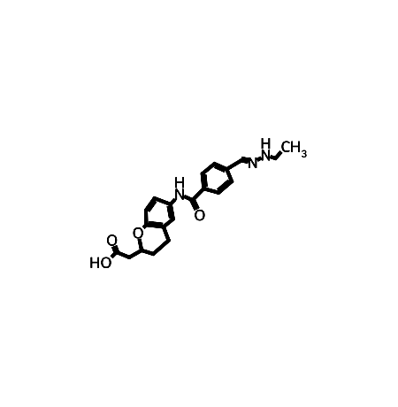 CCNN=Cc1ccc(C(=O)Nc2ccc3c(c2)CCC(CC(=O)O)O3)cc1